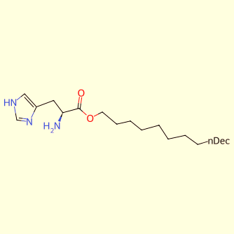 CCCCCCCCCCCCCCCCCCOC(=O)[C@@H](N)Cc1c[nH]cn1